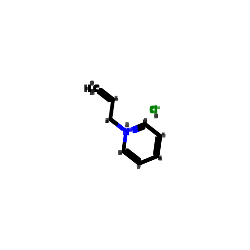 C=CC[n+]1ccccc1.[Cl-]